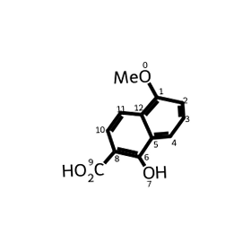 COc1cccc2c(O)c(C(=O)O)ccc12